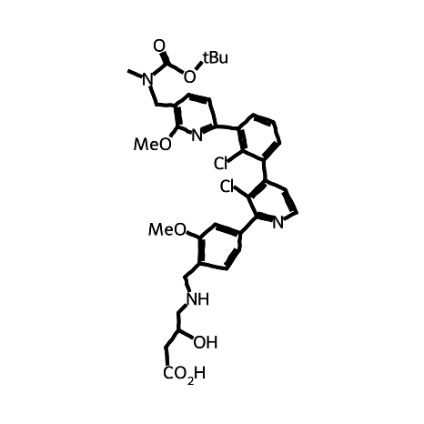 COc1cc(-c2nccc(-c3cccc(-c4ccc(CN(C)C(=O)OC(C)(C)C)c(OC)n4)c3Cl)c2Cl)ccc1CNCC(O)CC(=O)O